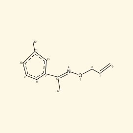 C=CCON=C(C)c1cc[c]c(C)c1